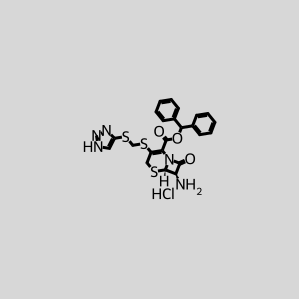 Cl.N[C@@H]1C(=O)N2C(C(=O)OC(c3ccccc3)c3ccccc3)=C(SCSc3c[nH]nn3)CS[C@H]12